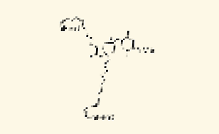 CCCCC/C=C\C/C=C\CCCCCCCCC1(CC(C)CCCCCC/C=C\C/C=C\CCCCC)CCC(C)(CC2CC(C)C(NC)C[C@@H]2C)CC1